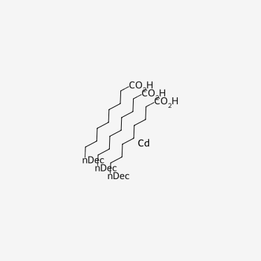 CCCCCCCCCCCCCCCCCC(=O)O.CCCCCCCCCCCCCCCCCC(=O)O.CCCCCCCCCCCCCCCCCC(=O)O.[Cd]